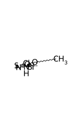 CCCCCCCCCCCCCCOc1ccc(CC(=O)Nc2cccc(C[n+]3ccsc3)c2)c(Cl)c1.[Br-]